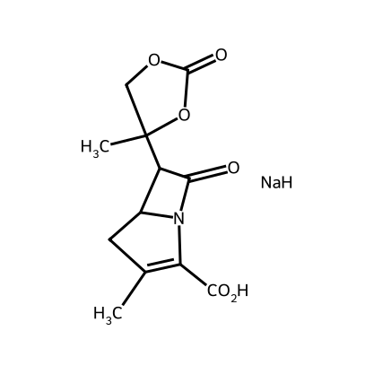 CC1=C(C(=O)O)N2C(=O)C(C3(C)COC(=O)O3)C2C1.[NaH]